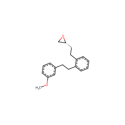 COc1cccc(CCc2ccccc2CC[C@@H]2CO2)c1